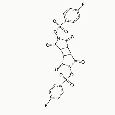 O=C1C2C(C(=O)N1OS(=O)(=O)c1ccc(F)cc1)C1C(=O)N(OS(=O)(=O)c3ccc(F)cc3)C(=O)C21